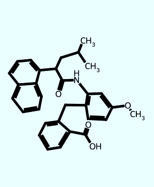 COc1ccc(Cc2ccccc2C(=O)O)c(NC(=O)C(CC(C)C)c2cccc3ccccc23)c1